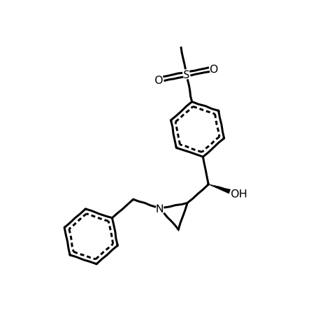 CS(=O)(=O)c1ccc([C@@H](O)C2CN2Cc2ccccc2)cc1